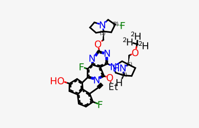 [2H]C([2H])([2H])OC[C@]12CC[C@H](CN(c3nc(OC[C@@]45CCCN4C[C@H](F)C5)nc4c(F)c(-c5cc(O)cc6ccc(F)c(C#C)c56)nc(OCC)c34)C1)N2